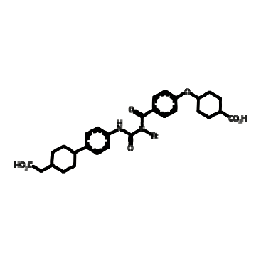 CCN(C(=O)Nc1ccc(C2CCC(CC(=O)O)CC2)cc1)C(=O)c1ccc(OC2CCC(C(=O)O)CC2)cc1